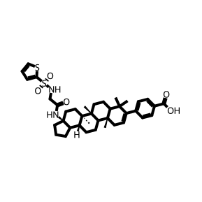 CC1(C)C(c2ccc(C(=O)O)cc2)=CC[C@@]2(C)C1CC[C@]1(C)C2CC[C@@H]2C3CCC[C@]3(NC(=O)CNS(=O)(=O)c3cccs3)CC[C@]21C